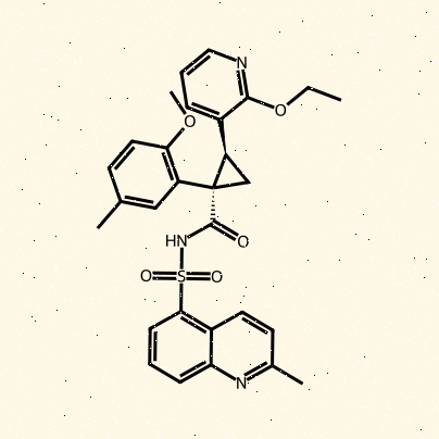 CCOc1ncccc1[C@H]1C[C@@]1(C(=O)NS(=O)(=O)c1cccc2nc(C)ccc12)c1cc(C)ccc1OC